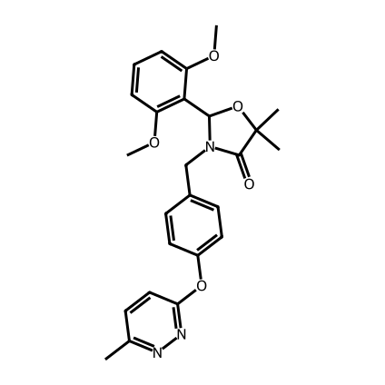 COc1cccc(OC)c1C1OC(C)(C)C(=O)N1Cc1ccc(Oc2ccc(C)nn2)cc1